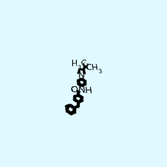 CN(C)C1CCN(c2ccc(NC(=O)c3ccc(Cc4ccccc4)cc3)cc2)C1